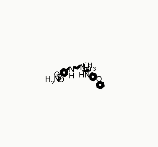 CN(CCCNCc1ccc(S(N)(=O)=O)cc1)CC(=O)Nc1ccc(Oc2ccccc2)cc1